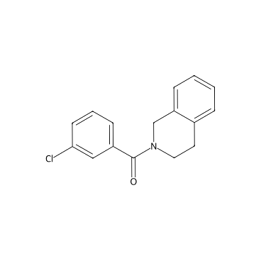 O=C(c1cccc(Cl)c1)N1CCc2ccccc2C1